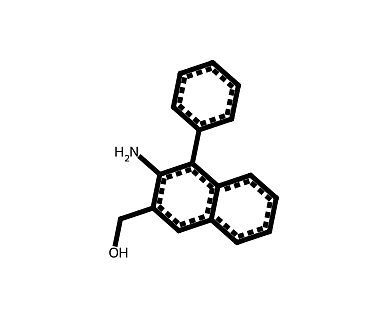 Nc1c(CO)cc2ccccc2c1-c1ccccc1